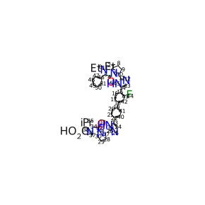 CCN(CC)[C@@H](C(=O)N1CCC[C@H]1c1ncc(-c2ccc(-c3ccc(-c4cnc([C@@H]5CCCN5C(=O)[C@H](C(C)C)N(C)C(=O)O)[nH]4)cc3)cc2F)[nH]1)c1ccccc1